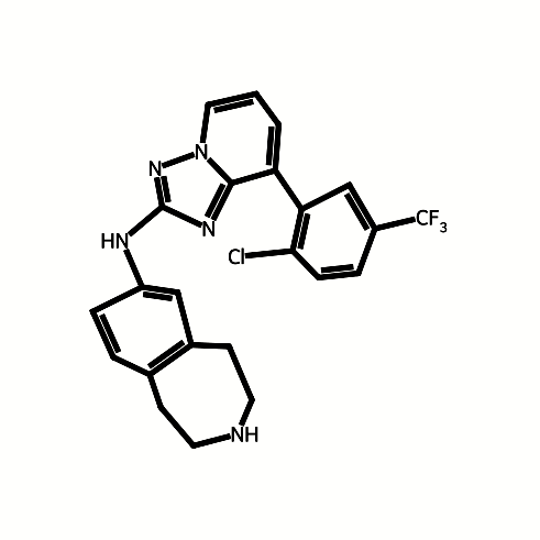 FC(F)(F)c1ccc(Cl)c(-c2cccn3nc(Nc4ccc5c(c4)CCNCC5)nc23)c1